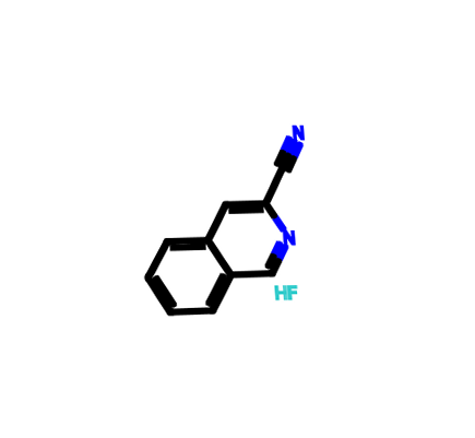 F.N#Cc1cc2ccccc2cn1